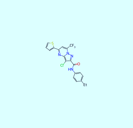 CCc1ccc(NC(=O)c2nn3c(C(F)(F)F)cc(-c4cccs4)nc3c2Cl)cc1